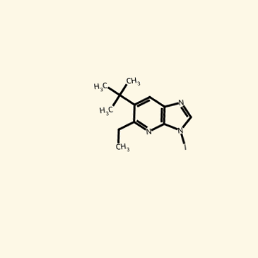 CCc1nc2c(cc1C(C)(C)C)ncn2I